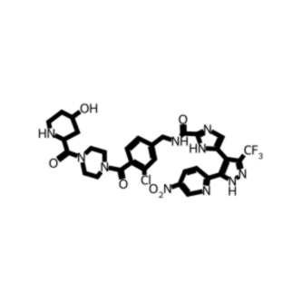 O=C(NCc1ccc(C(=O)N2CCN(C(=O)C3CC(O)CCN3)CC2)c(Cl)c1)c1ncc(-c2c(C(F)(F)F)n[nH]c2-c2ccc([N+](=O)[O-])cn2)[nH]1